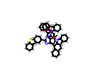 CC1C/C=C(c2cc3c(cc2-n2c4ccccc4c4cc5ccccc5cc42)oc2ccccc23)/N=C(c2ccc3sc4ccccc4c3c2)\N=C/1n1c2ccccc2c2ccccc21